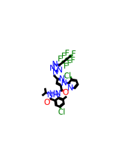 Cc1cc(Cl)cc(C(=O)NC(C)C)c1NC(=O)c1cc(Cn2nnc(C(F)(F)C(F)(F)C(F)(F)F)n2)nn1-c1ncccc1Cl